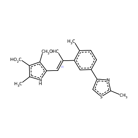 Cc1nc(-c2ccc(C)c(/C(C=O)=C/c3[nH]c(C)c(C(=O)O)c3C)c2)cs1